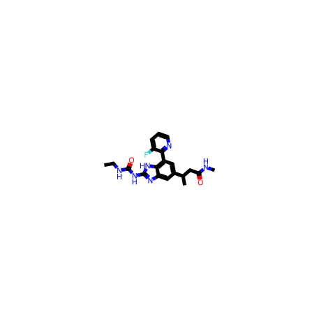 CCNC(=O)Nc1nc2cc(C(C)CC(=O)NC)cc(-c3ncccc3F)c2[nH]1